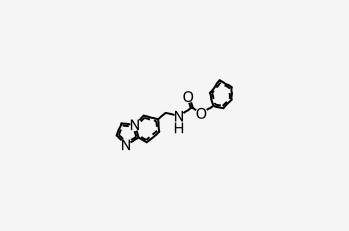 O=C(NCc1ccc2nccn2c1)Oc1ccccc1